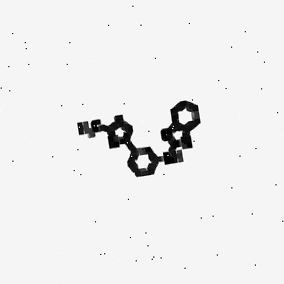 Cc1nc(-c2cccc(Nc3nc4ccccc4o3)c2)cs1